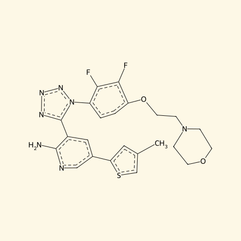 Cc1csc(-c2cnc(N)c(-c3nnnn3-c3ccc(OCCN4CCOCC4)c(F)c3F)c2)c1